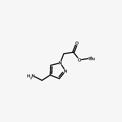 CC(C)(C)OC(=O)Cn1cc(CN)cn1